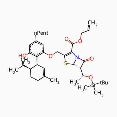 C=CCOC(=O)C1=C(COc2cc(CCCCC)cc(O)c2[C@@H]2C=C(C)CC[C@H]2C(=C)C)SC2[C@@H]([C@@H](C)O[Si](C)(C)C(C)(C)C)C(=O)N12